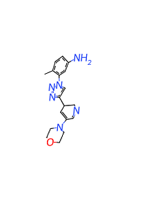 Cc1ccc(N)cc1-n1cc(C2C=C(N3CCOCC3)C=NC2)nn1